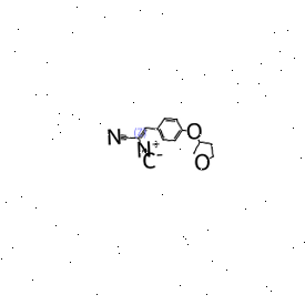 [C-]#[N+]/C(C#N)=C\c1ccc(OC2CCOC2)cc1